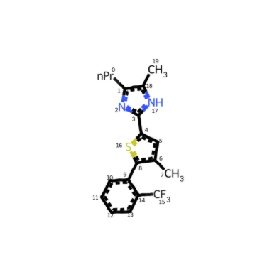 CCCc1nc(-c2cc(C)c(-c3ccccc3C(F)(F)F)s2)[nH]c1C